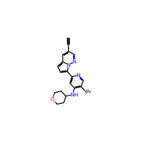 C#Cc1cnn2c(-c3cc(NC4CCOCC4)c(C(C)C)cn3)ccc2c1